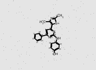 Cc1nc(C)c(-c2cc(-c3ccccc3)nc(Nc3ccc(O)cc3)n2)s1